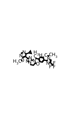 COc1ncnc(C2CC2)c1-c1nc2n(n1)CCC(=O)N2C(C)c1ccc(-c2nc(C(F)(F)F)cn2C(C)C)cc1